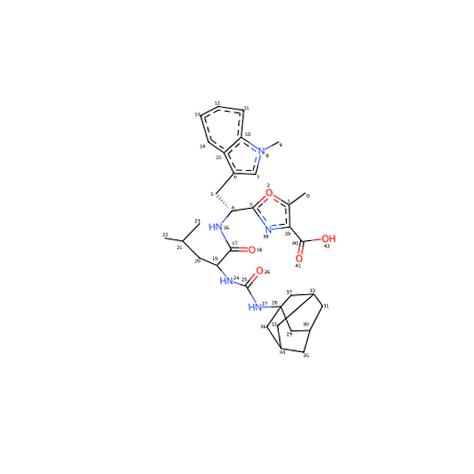 Cc1oc([C@@H](Cc2cn(C)c3ccccc23)NC(=O)C(CC(C)C)NC(=O)NC23CC4CC(CC(C4)C2)C3)nc1C(=O)O